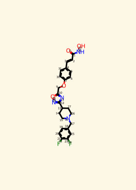 O=C(C=Cc1ccc(OCc2nc(C3CCN(Cc4ccc(F)c(F)c4)CC3)no2)cc1)NO